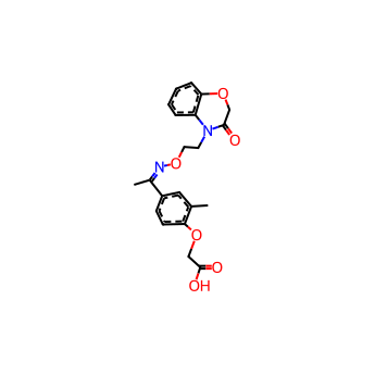 CC(=NOCCN1C(=O)COc2ccccc21)c1ccc(OCC(=O)O)c(C)c1